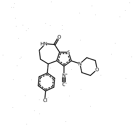 [C-]#[N+]c1c(N2CCOCC2)sc2c1C(c1ccc(Cl)cc1)CCNC2=O